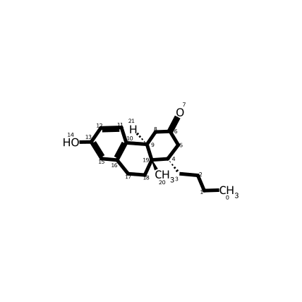 CCCC[C@H]1CC(=O)C[C@@H]2c3ccc(O)cc3CC[C@@]12C